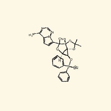 CC1(C)O[C@H]2C(C#N)(c3ccc4c(N)ncnn34)O[C@@H]3C(O[Si](c4ccccc4)(c4ccccc4)C(C)(C)C)[C@@]32O1